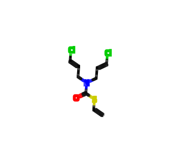 C=CSC(=O)N(CC=CCl)CC=CCl